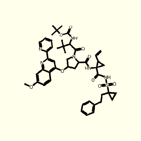 C=CC1CC1(NC(=O)C1CC(Oc2cc(-c3ccccn3)nc3cc(OC)ccc23)CN1C(=O)C(NC(=O)OC(C)(C)C)C(C)(C)C)C(=O)NS(=O)(=O)C1(CCc2ccccc2)CC1